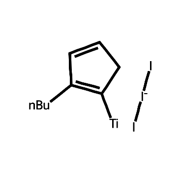 CCCCC1=[C]([Ti])CC=C1.I[I-]I